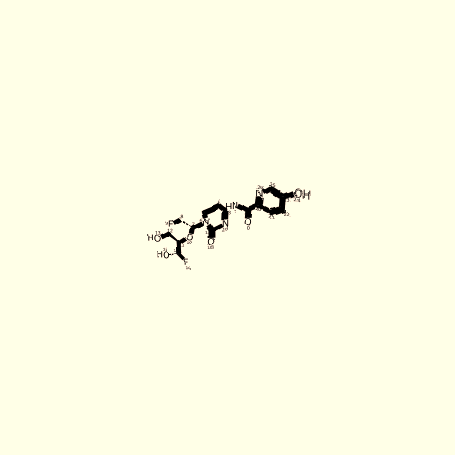 O=C(Nc1ccn([C@@H](CF)O[C@H](CO)[C@@H](O)F)c(=O)n1)c1ccc(O)cn1